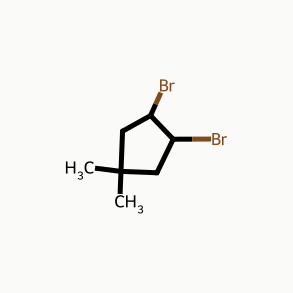 CC1(C)CC(Br)C(Br)C1